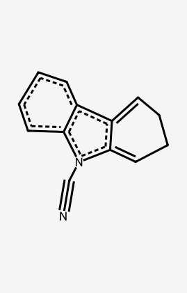 N#Cn1c2c(c3ccccc31)=CCCC=2